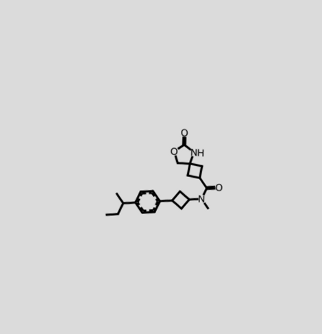 CCC(C)c1ccc(C2CC(N(C)C(=O)C3CC4(COC(=O)N4)C3)C2)cc1